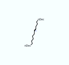 [CH2]CCCCCCCCCCCC/C=C/CCCCCCCCCCCCCCC